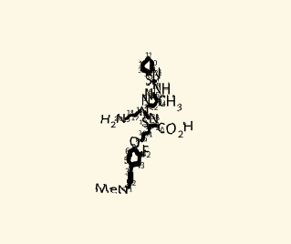 CNCC#Cc1ccc(OCCCc2sc(N(CCCCN)c3cc(C)c(Nc4nc5ccccc5s4)nn3)nc2C(=O)O)c(F)c1